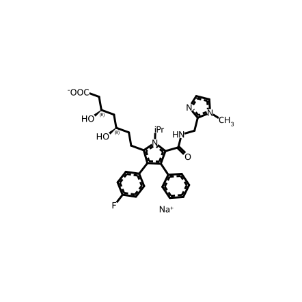 CC(C)n1c(CC[C@@H](O)C[C@@H](O)CC(=O)[O-])c(-c2ccc(F)cc2)c(-c2ccccc2)c1C(=O)NCc1nccn1C.[Na+]